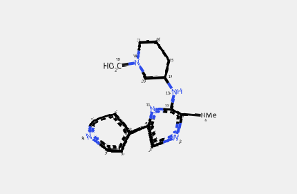 CNc1ncc(-c2ccncc2)nc1NC1CCCN(C(=O)O)C1